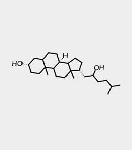 CC(C)CCC(O)C[C@H]1CCC2[C@@H]3CCC4C[C@@H](O)CCC4(C)C3CCC21C